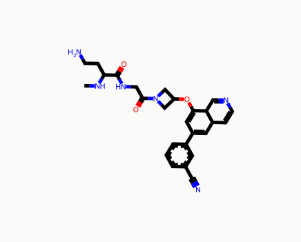 CNC(CCN)C(=O)NCC(=O)N1CC(OC2=CC(c3cccc(C#N)c3)=CC3C=CN=CC23)C1